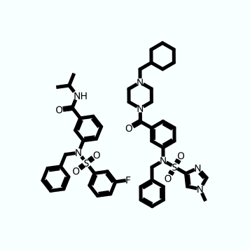 CC(C)NC(=O)c1cccc(N(Cc2ccccc2)S(=O)(=O)c2cccc(F)c2)c1.Cn1cnc(S(=O)(=O)N(Cc2ccccc2)c2cccc(C(=O)N3CCN(CC4CCCCC4)CC3)c2)c1